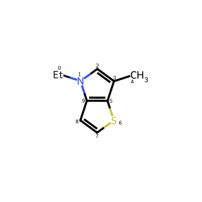 CCn1cc(C)c2sccc21